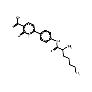 NCCCC[C@H](N)C(=O)Nc1ccc(-c2ccc(C(=O)O)c(=O)[nH]2)cc1